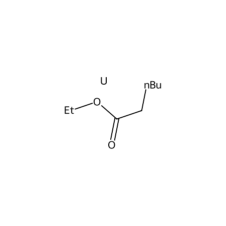 CCCCCC(=O)OCC.[U]